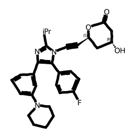 CC(C)c1nc(-c2cccc(N3CCCCC3)c2)c(-c2ccc(F)cc2)n1C#C[C@@H]1C[C@@H](O)CC(=O)O1